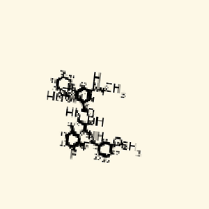 CCNc1cc(C(=O)N[C@@H](Cc2ccc(F)c(F)c2)[C@@H](O)CNCc2cccc(OC)c2)cc(N2CCCCS2(O)O)c1